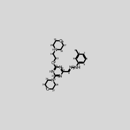 Cc1cccc(NN=Cc2nc(OCCN3CCOCC3)nc(N3CCOCC3)n2)c1